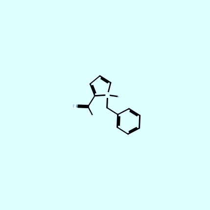 N=C(S)C1=CC=CS1(Cl)Cc1ccccc1